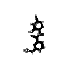 COc1cc(C(=O)NC2CCC(=O)NC2=O)ccn1